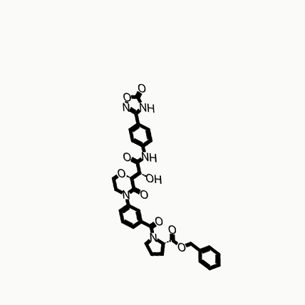 O=C(Nc1ccc(-c2noc(=O)[nH]2)cc1)[C@H](O)[C@H]1OCCN(c2cccc(C(=O)N3CCC[C@H]3C(=O)OCc3ccccc3)c2)C1=O